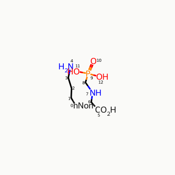 CCCCCCCCCCCCN.O=C(O)CNCP(=O)(O)O